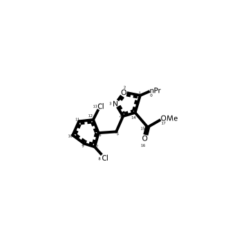 CCCc1onc(Cc2c(Cl)cccc2Cl)c1C(=O)OC